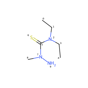 CCN(CC)C(=S)N(C)N